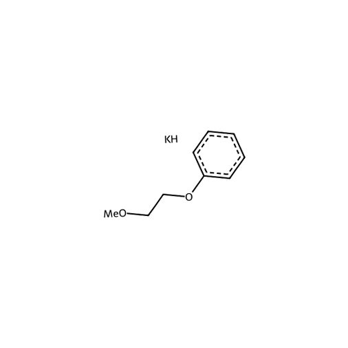 COCCOc1ccccc1.[KH]